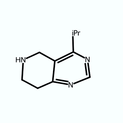 CC(C)c1ncnc2c1CNCC2